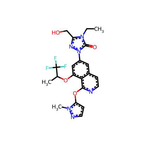 CCn1c(CO)nn(-c2cc(OC(C)C(F)(F)F)c3c(Oc4ccnn4C)nccc3c2)c1=O